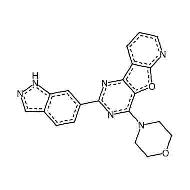 c1cnc2oc3c(N4CCOCC4)nc(-c4ccc5cn[nH]c5c4)nc3c2c1